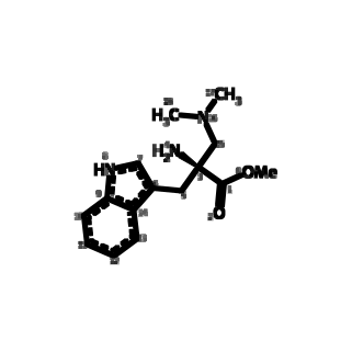 COC(=O)[C@](N)(Cc1c[nH]c2ccccc12)CN(C)C